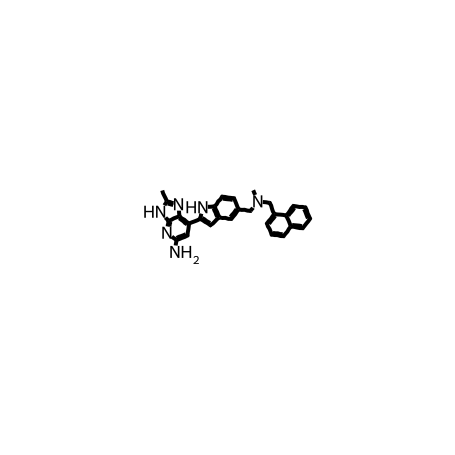 Cc1nc2c(-c3cc4cc(CN(C)Cc5cccc6ccccc56)ccc4[nH]3)cc(N)nc2[nH]1